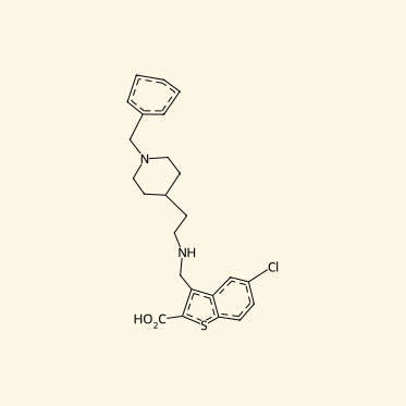 O=C(O)c1sc2ccc(Cl)cc2c1CNCCC1CCN(Cc2ccccc2)CC1